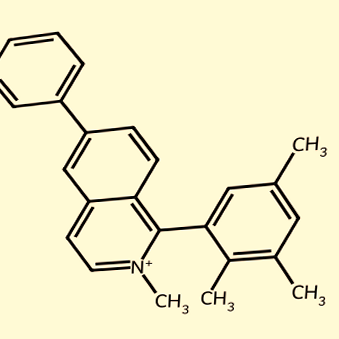 Cc1cc(C)c(C)c(-c2c3ccc(-c4cccnc4)cc3cc[n+]2C)c1